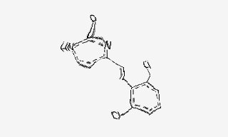 O=c1nc(C=Cc2c(Cl)cccc2Cl)cc[nH]1